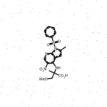 COCC(C)(Nc1c([N+](=O)[O-])cnc2c1cc(C)n2S(=O)(=O)c1ccccc1)C(=O)O